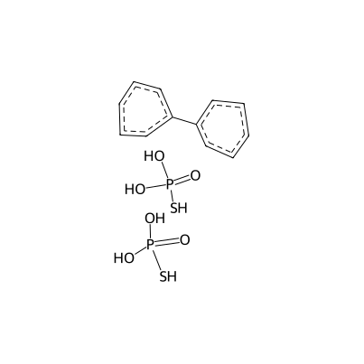 O=P(O)(O)S.O=P(O)(O)S.c1ccc(-c2ccccc2)cc1